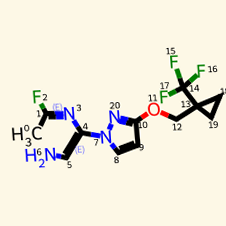 C/C(F)=N\C(=C/N)n1ccc(OCC2(C(F)(F)F)CC2)n1